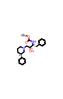 CC(C)(C)OC(=O)N[C@H](Cc1ccccc1)[C@@H](O)CN1CCC[C@H](c2ccccc2)C1